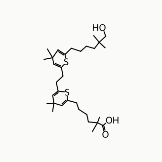 CC1(C)C=C(CCCCC(C)(C)CO)SC(CCC2=CC(C)(C)C=C(CCCCC(C)(C)C(=O)O)S2)=C1